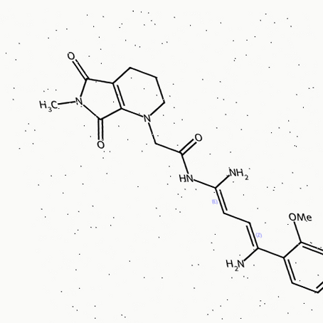 COc1ccccc1/C(N)=C/C=C(\N)NC(=O)CN1CCCC2=C1C(=O)N(C)C2=O